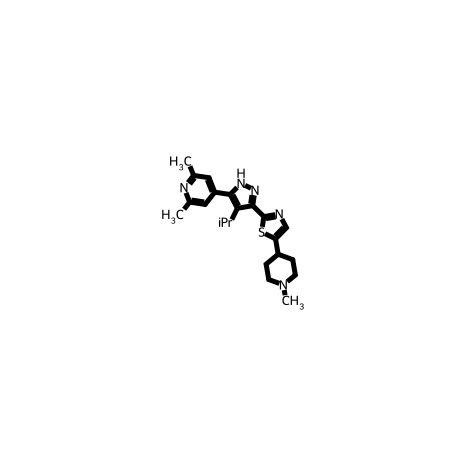 Cc1cc(-c2[nH]nc(-c3ncc(C4CCN(C)CC4)s3)c2C(C)C)cc(C)n1